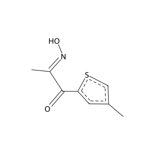 CC(=NO)C(=O)c1cc(C)cs1